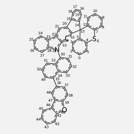 c1ccc2c(c1)Sc1ccccc1C21c2ccccc2-c2cc3c4ccccc4n(-c4cccc5c(-c6ccc7oc8ccccc8c7c6)cccc45)c3cc21